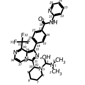 CN(C)C(O)N1CCCC[C@H]1c1nc(-c2ccc(C(=O)Nc3ccccn3)cc2)c2c(C(F)(F)F)nccn12